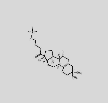 C=C(CCCO[Si](C)(C)C)[C@]1(O)CC[C@H]2[C@@H]3[C@H](C)CC4=C(CCC(OC)(OC)C4)[C@H]3CC[C@@]21C